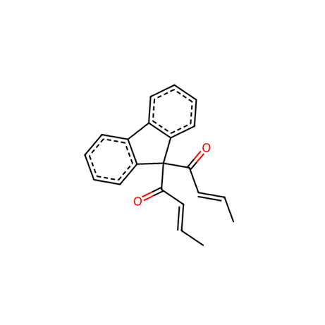 CC=CC(=O)C1(C(=O)C=CC)c2ccccc2-c2ccccc21